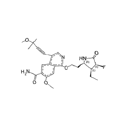 CC[C@@H]1[C@H](F)C(=O)N[C@@H]1CCOc1ncc(C#CC(C)(C)OC)c2cc(C(N)=O)c(OC)cc12